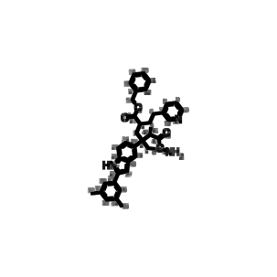 CCC(CC(CCc1cccnc1)C(=O)OCc1ccccc1)(c1ccc2[nH]c(-c3cc(C)cc(C)c3)cc2c1)C(C)C(=O)ON